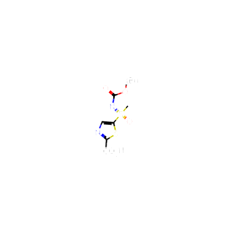 CC(C)(C)OC(=O)N=S(C)(=O)c1cnc(C(=O)O)s1